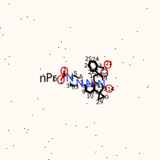 CCCOC(=O)N1CCN(c2ccc(C3(C(=O)N4CCC5(C4)OC(=O)c4ccccc45)CC3)cn2)CC1